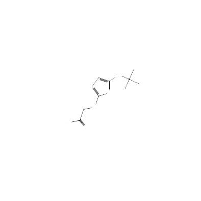 CC(C)(C)Oc1ccc(SCC(=O)O)s1